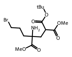 COC(=O)C(CC(N)(CCCBr)C(=O)OC)C(=O)OC(C)(C)C